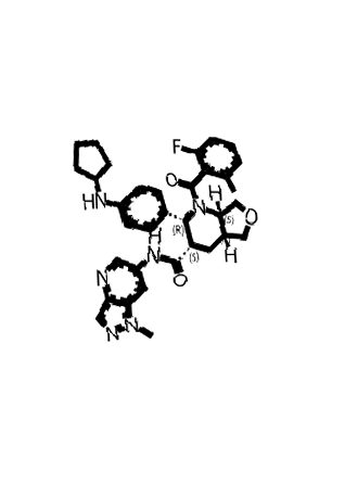 Cc1cccc(F)c1C(=O)N1[C@@H]2COC[C@@H]2C[C@H](C(=O)Nc2cnc3cnn(C)c3c2)[C@@H]1c1ccc(NC2CCCC2)cc1